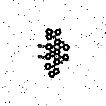 CC(C)(C)c1ccc2c(c1)B1c3cc(C(C)(C)C)ccc3N3c4cc(N(c5ccccc5)c5cccc6ccccc56)cc5c4B(c4ccccc4S5)c4cc5c(c1c43)N2c1cc(N(c2ccccc2)c2cccc3ccccc23)cc2c1B5c1ccccc1S2